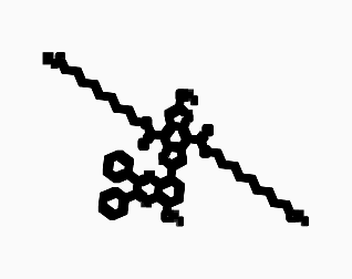 CCCCCCCCCCOC(=O)c1c2cc(-c3ccc(C)c4nc(-c5ccccc5)c(-c5ccccc5)nc34)sc2c(C(=O)OCCCCCCCCCC)c2cc(C)sc12